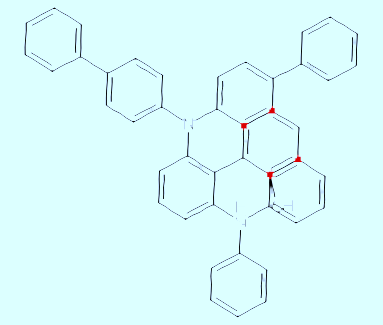 Cc1ccccc1-c1c(N(c2ccc(-c3ccccc3)cc2)c2ccc(-c3ccccc3)cc2)cccc1[SiH](c1ccccc1)c1ccccc1